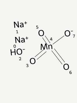 [Na+].[Na+].[OH-].[O]=[Mn](=[O])(=[O])[O-]